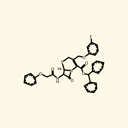 O=C(COc1ccccc1)NC1C(=O)N2C(C(=O)OC(c3ccccc3)c3ccccc3)=C(COc3cccc(F)c3)CS[C@H]12